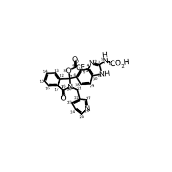 O=C(O)Nc1nc2cc(C3(OC(=O)C(F)(F)F)c4ccccc4C(=O)N3Cc3cccnc3)ccc2[nH]1